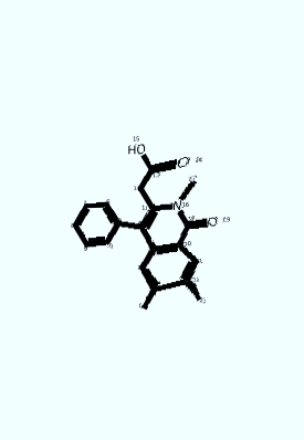 Cc1cc2c(-c3ccccc3)c(CC(=O)O)n(C)c(=O)c2cc1C